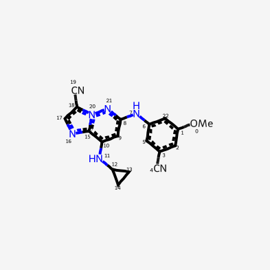 COc1cc(C#N)cc(Nc2cc(NC3CC3)c3ncc(C#N)n3n2)c1